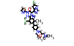 Cc1c(-c2ccc(N3CCOC(CN(C)C)C3)cc2)cc(C(F)F)c2cn(C(C(=O)Nc3nccs3)c3ncn4c3C[C@@H](F)C4)nc12